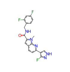 Cn1c(C(=O)NCc2ccc(F)cc2F)cc2ccc(-c3c[nH]nc3F)nc21